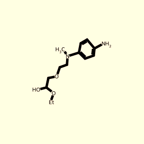 CCOC(O)COCCN(C)c1ccc(N)cc1